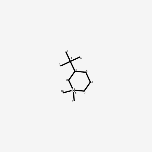 CC(C)(C)C1CCC[N+](C)(C)C1